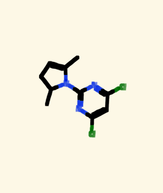 CC1=CCC(C)N1c1nc(Cl)cc(Cl)n1